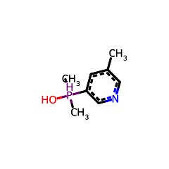 Cc1cncc([PH](C)(C)O)c1